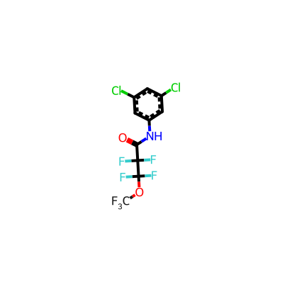 O=C(Nc1cc(Cl)cc(Cl)c1)C(F)(F)C(F)(F)OC(F)(F)F